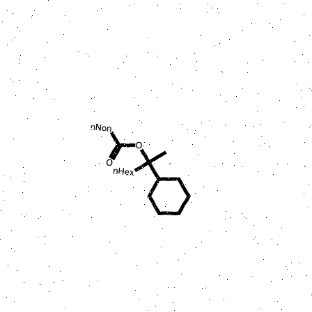 CCCCCCCCCC(=O)OC(C)(CCCCCC)C1CCCCC1